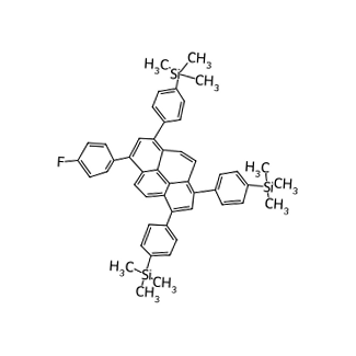 C[Si](C)(C)c1ccc(-c2cc(-c3ccc(F)cc3)c3ccc4c(-c5ccc([Si](C)(C)C)cc5)cc(-c5ccc([Si](C)(C)C)cc5)c5ccc2c3c45)cc1